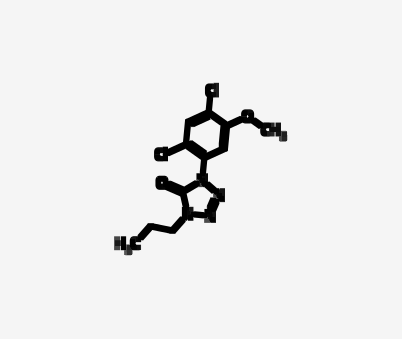 CCCn1nnn(-c2cc(OC)c(Cl)cc2Cl)c1=O